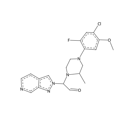 COc1cc(N2CCN(C(C=O)n3cc4ccncc4n3)C(C)C2)c(F)cc1Cl